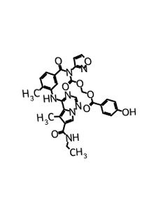 CCNC(=O)c1cn2ncnc(Nc3cc(C(=O)N(C(=O)OCOC(=O)c4ccc(O)cc4)c4ccon4)ccc3C)c2c1C